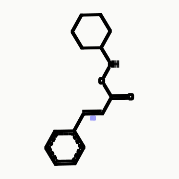 O=C(/C=C/c1ccccc1)ONC1CCCCC1